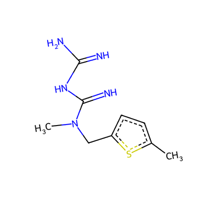 Cc1ccc(CN(C)C(=N)NC(=N)N)s1